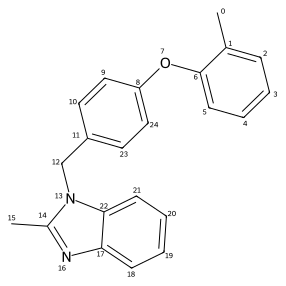 Cc1ccccc1Oc1ccc(Cn2c(C)nc3ccccc32)cc1